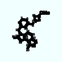 COC1CN(Cc2cccc(Cn3c(C)cc4c3ccc3nnc(C)n34)c2)C1